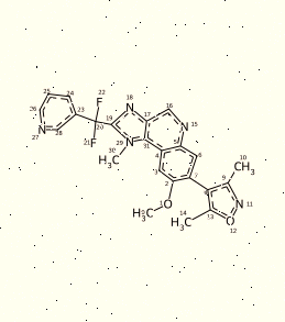 COc1cc2c(cc1-c1c(C)noc1C)ncc1nc(C(F)(F)c3cccnc3)n(C)c12